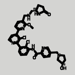 COc1nc(-c2ccnc(-c3cccc(NC(=O)c4ccc(CN5CC[C@@H](O)C5)cn4)c3Cl)c2Cl)ccc1CNC[C@H]1CCC(=O)N1